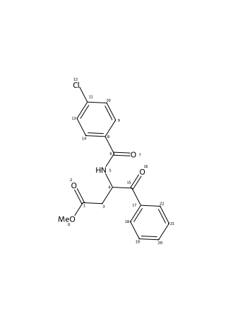 COC(=O)CC(NC(=O)c1ccc(Cl)cc1)C(=O)c1ccccc1